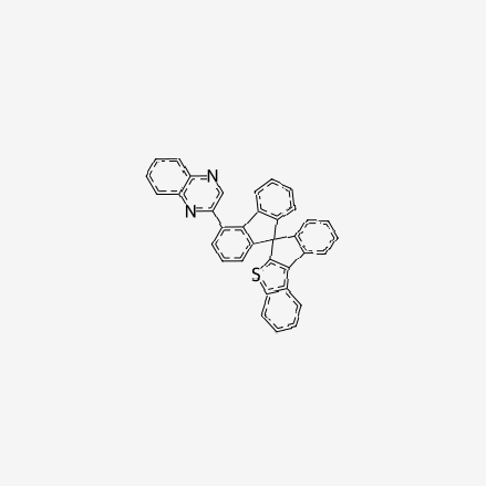 c1ccc2c(c1)-c1c(-c3cnc4ccccc4n3)cccc1C21c2ccccc2-c2c1sc1ccccc21